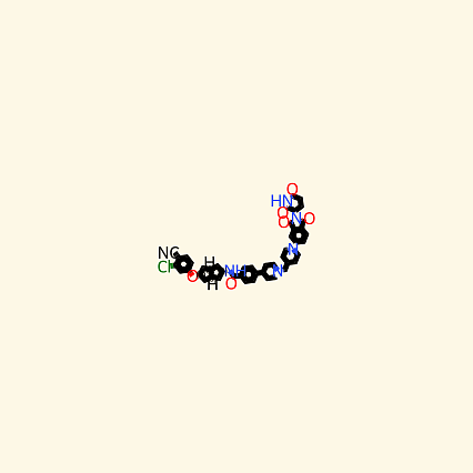 N#Cc1ccc(O[C@H]2C[C@H]3C[C@H](NC(=O)c4ccc(C5CCN(CC6CCN(c7ccc8c(c7)C(=O)N(C7CCC(=O)NC7=O)C8=O)CC6)CC5)cc4)C[C@H]3C2)cc1Cl